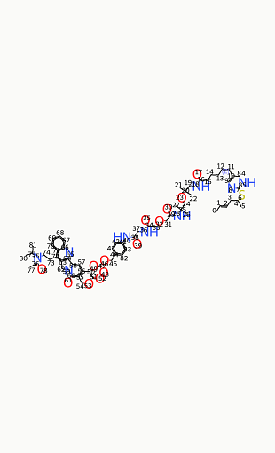 CC=CCC(C)SC1=NC=C(/C=C\CCCC(=O)NCC(C)(C)OCC(C)(C)NC(=O)COCC(=O)NCC(=O)Nc2ccc(COC(=O)OC3C(=O)OCc4c3cc3n(c4=O)Cc4c-3nc3ccccc3c4CCN(C(C)=O)C(C)C)cc2)CN1